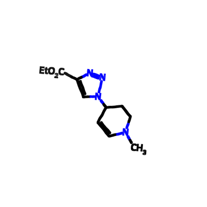 CCOC(=O)c1cn(C2C=CN(C)CC2)nn1